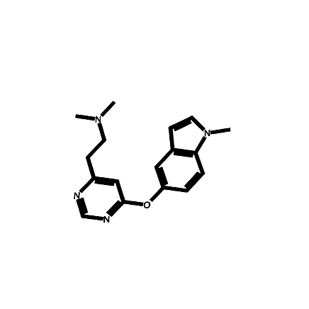 CN(C)CCc1cc(Oc2ccc3c(ccn3C)c2)ncn1